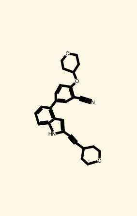 N#Cc1cc(-c2cccc3[nH]c(C#CC4CCOCC4)cc23)ccc1OC1CCOCC1